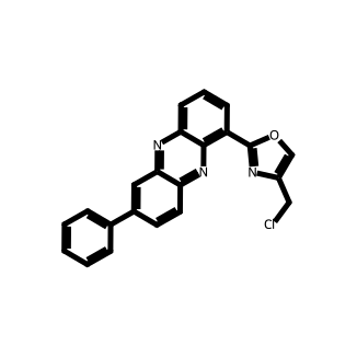 ClCc1coc(-c2cccc3nc4cc(-c5ccccc5)ccc4nc23)n1